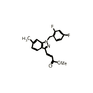 COC(=O)/C=C/c1nn(Cc2ccc(F)cc2F)c2cc(C)ccc12